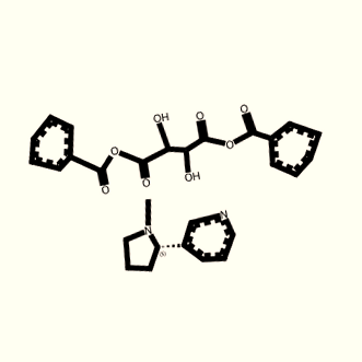 CN1CCC[C@H]1c1cccnc1.O=C(OC(=O)C(O)C(O)C(=O)OC(=O)c1ccccc1)c1ccccc1